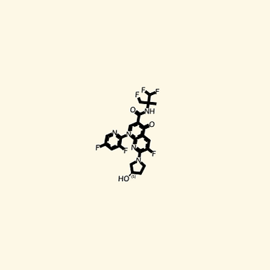 CC(CF)(NC(=O)c1cn(-c2ncc(F)cc2F)c2nc(N3CC[C@H](O)C3)c(F)cc2c1=O)C(F)F